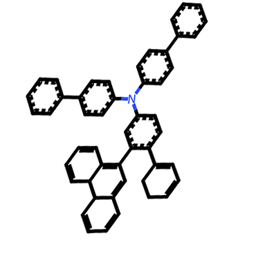 C1=CCCC(c2ccc(N(c3ccc(-c4ccccc4)cc3)c3ccc(-c4ccccc4)cc3)cc2C2=C3C=CC=CC3C3C=CC=CC3=C2)=C1